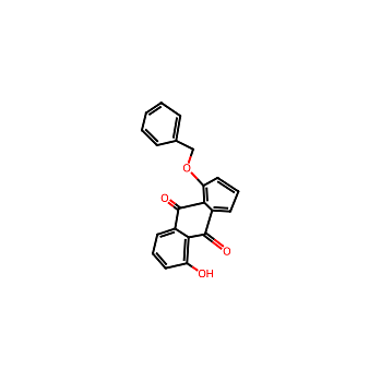 O=C1c2cccc(OCc3ccccc3)c2C(=O)c2cccc(O)c21